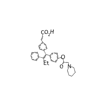 CCC(=C(c1ccc(C=CC(=O)O)cc1)c1ccc(OC(=O)CN2CCCCC2)cc1)c1ccccc1